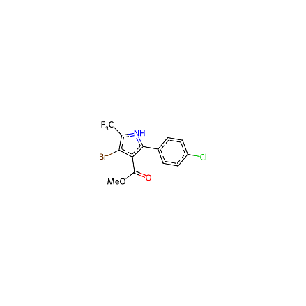 COC(=O)c1c(-c2ccc(Cl)cc2)[nH]c(C(F)(F)F)c1Br